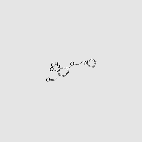 COc1cc(OCCn2cccc2)ccc1C=O